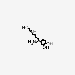 NCC(CCCCNCCO)c1ccc(O)c(O)c1